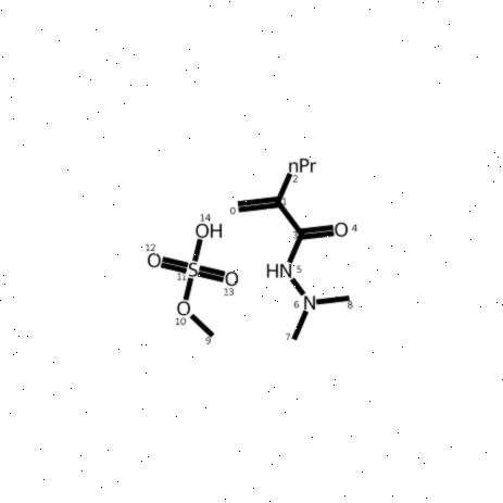 C=C(CCC)C(=O)NN(C)C.COS(=O)(=O)O